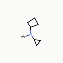 [CH2]CCN(C1CCC1)C1CC1